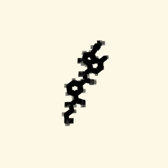 Cc1ccc(N[S+]([O-])c2cccc(C(=O)NCCO)c2)c2[nH]cc(C#N)c12